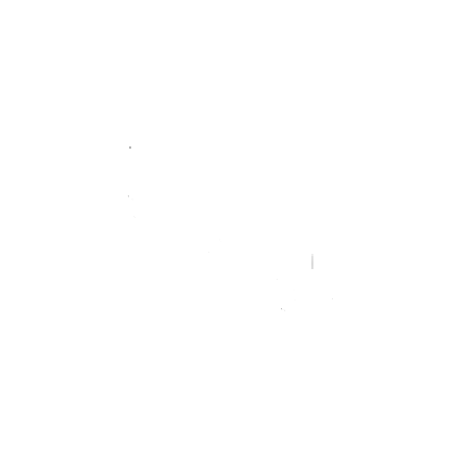 CC1(C)CC(=O)c2c(noc2Cc2ccc(OCCCC(=O)N3CCC(O)C3)cc2)C1